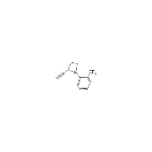 C#CC1CCN1c1ccccc1C(F)(F)F